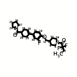 CCC(F)(F)C(=O)N1CCC(COc2ccc(C3=CCC(C(=O)N4CCCC4)CC3)cc2F)CC1